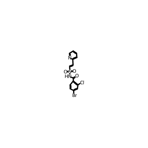 O=C(NS(=O)(=O)C=Cc1ccccn1)c1ccc(Br)cc1Cl